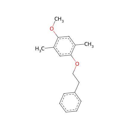 COc1cc(C)c(OCCc2ccccc2)cc1C